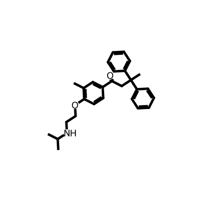 Cc1cc(C(=O)CC(C)(c2ccccc2)c2ccccc2)ccc1OCCNC(C)C